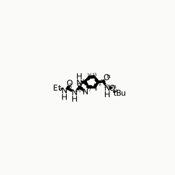 CCNC(=O)Nc1nc2cc(C(=O)NOC(C)(C)C)ccc2[nH]1